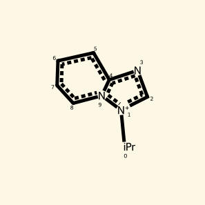 CC(C)[n+]1cnc2ccccn21